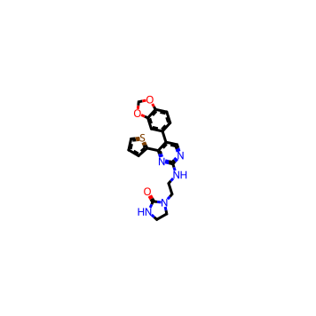 O=C1NCCN1CCNc1ncc(-c2ccc3c(c2)OCO3)c(-c2cccs2)n1